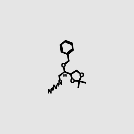 CC1(C)OCC([C@@H](CN=[N+]=[N-])OCc2ccccc2)O1